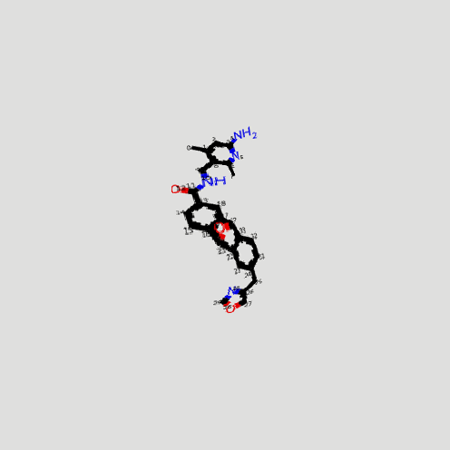 Cc1cc(N)nc(C)c1CNC(=O)c1ccc2c(c1)c1oc2c2cc(Cc3cocn3)ccc21